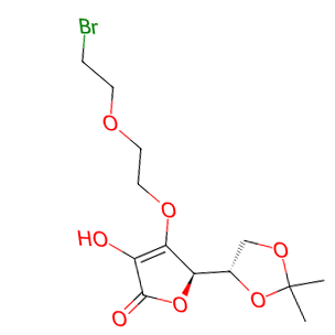 CC1(C)OC[C@@H]([C@H]2OC(=O)C(O)=C2OCCOCCBr)O1